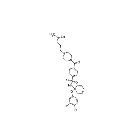 CN(C)CCCN1CCN(C(=O)c2ccc(S(=O)(=O)NC3(Oc4ccc(Cl)c(Cl)c4)C=CC=CC3)cc2)CC1